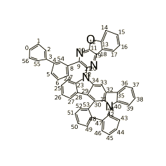 c1ccc(-c2cccc(-c3nc4oc5ccccc5c4nc3-n3c4ccccc4c4c5c6c(cc43)c3ccccc3n6-c3ccccc3-c3ccccc3-5)c2)cc1